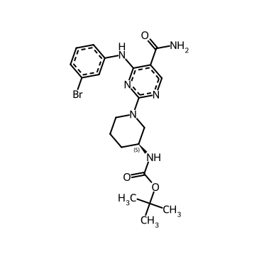 CC(C)(C)OC(=O)N[C@H]1CCCN(c2ncc(C(N)=O)c(Nc3cccc(Br)c3)n2)C1